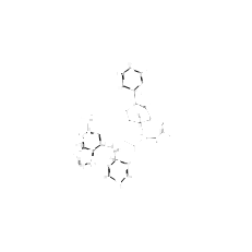 Nc1cc([C@H](CCN(CC(O)C(F)(F)F)C23CCC(c4ccccc4)(CC2)CC3)c2ccccc2)c2nn[nH]c2n1